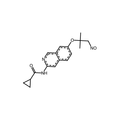 CC(C)(CN=O)Oc1ccc2cc(NC(=O)C3CC3)ncc2c1